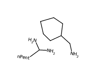 CCCCCC(N)N.NCC1CCCCC1